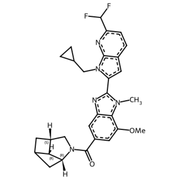 COc1cc(C(=O)N2C[C@H]3CC4C[C@@H]2[C@H]43)cc2nc(-c3cc4ccc(C(F)F)nc4n3CC3CC3)n(C)c12